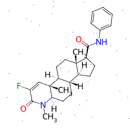 CN1C(=O)C(F)=C[C@]2(C)[C@H]3CC[C@]4(C)[C@@H](C(=O)Nc5ccccc5)CC[C@H]4[C@@H]3CC[C@@H]12